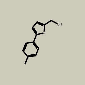 Cc1ccc(-c2ccc(CO)o2)cc1